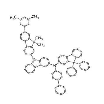 Cc1cc(C)cc(-c2ccc3c(c2)C(C)(C)c2cc(-n4c5ccccc5c5cc(N(c6ccc(-c7ccccc7)cc6)c6ccc7c(c6)C(c6ccccc6)(c6ccccc6)c6ccccc6-7)ccc54)ccc2-3)c1